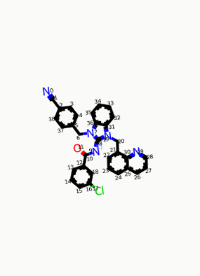 N#Cc1ccc(Cn2/c(=N\C(=O)c3cccc(Cl)c3)n(Cc3cccc4cccnc34)c3ccccc32)cc1